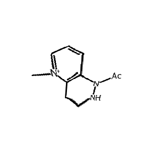 CC(=O)N1NCCc2c1ccc[n+]2C